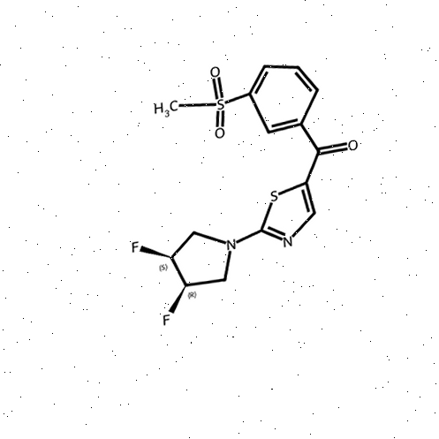 CS(=O)(=O)c1cccc(C(=O)c2cnc(N3C[C@@H](F)[C@@H](F)C3)s2)c1